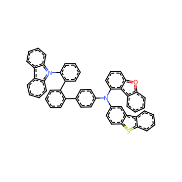 c1ccc(-c2ccccc2-n2c3ccccc3c3ccccc32)c(-c2ccc(N(c3ccc4sc5ccccc5c4c3)c3cccc4oc5ccccc5c34)cc2)c1